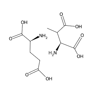 CC(C(=O)O)[C@H](N)C(=O)O.N[C@@H](CCC(=O)O)C(=O)O